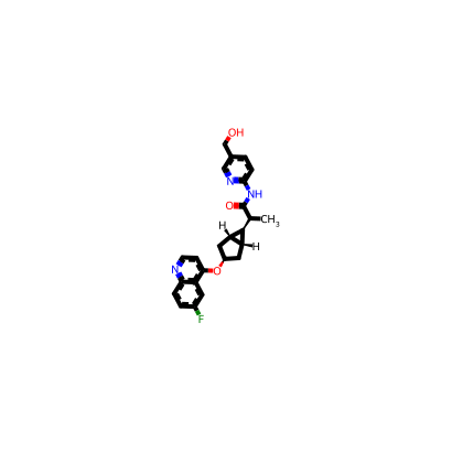 CC(C(=O)Nc1ccc(CO)cn1)[C@H]1[C@@H]2C[C@@H](Oc3ccnc4ccc(F)cc34)C[C@@H]21